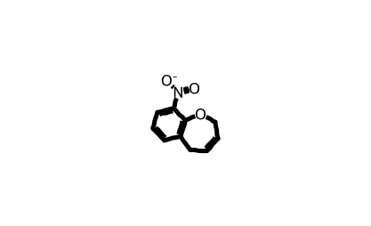 O=[N+]([O-])c1cccc2c1OCC=CC2